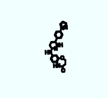 O=C1CCOc2cc(NC3=NNC(c4ccc(-n5cccn5)cc4)=CC3)ccc2N1